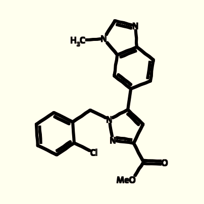 COC(=O)c1cc(-c2ccc3ncn(C)c3c2)n(Cc2ccccc2Cl)n1